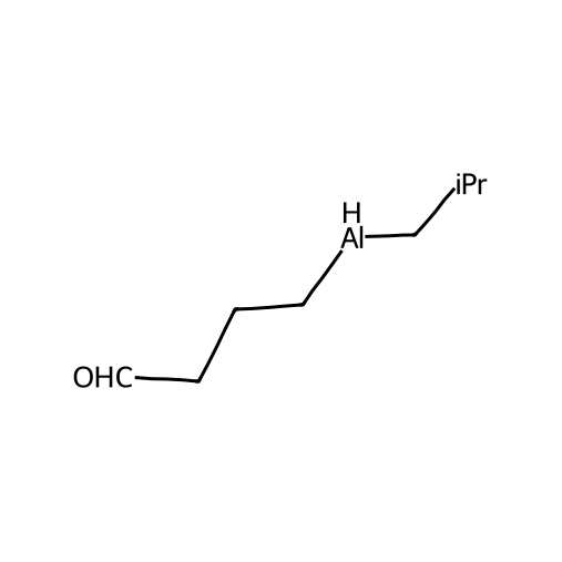 CC(C)[CH2][AlH][CH2]CCC=O